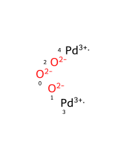 [O-2].[O-2].[O-2].[Pd+3].[Pd+3]